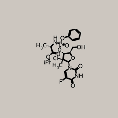 CC(C)OC(=O)[C@H](C)NP(=O)(Oc1ccccc1)O[C@@H]1[C@@H](CO)O[C@@H](n2cc(F)c(=O)[nH]c2=O)[C@]1(C)Cl